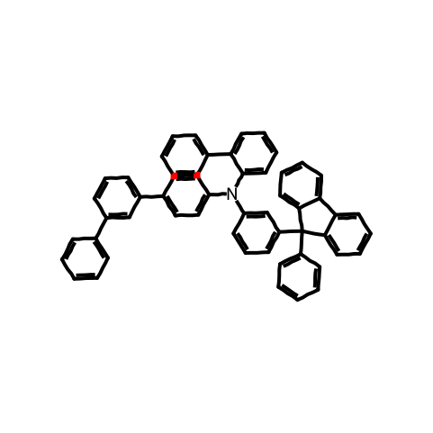 c1ccc(-c2cccc(-c3ccc(N(c4cccc(C5(c6ccccc6)c6ccccc6-c6ccccc65)c4)c4ccccc4-c4ccccc4)cc3)c2)cc1